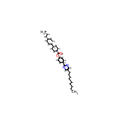 CCCCCCCCCc1cnc(-c2ccc(OC(=O)[C@H]3CC[C@H]([C@H]4CC[C@H](CCC)CC4)CC3)cc2)nc1